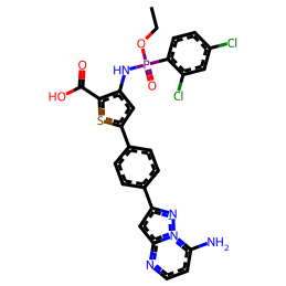 CCOP(=O)(Nc1cc(-c2ccc(-c3cc4nccc(N)n4n3)cc2)sc1C(=O)O)c1ccc(Cl)cc1Cl